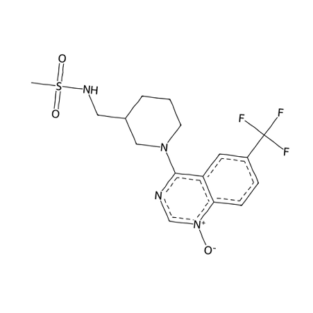 CS(=O)(=O)NCC1CCCN(c2nc[n+]([O-])c3ccc(C(F)(F)F)cc23)C1